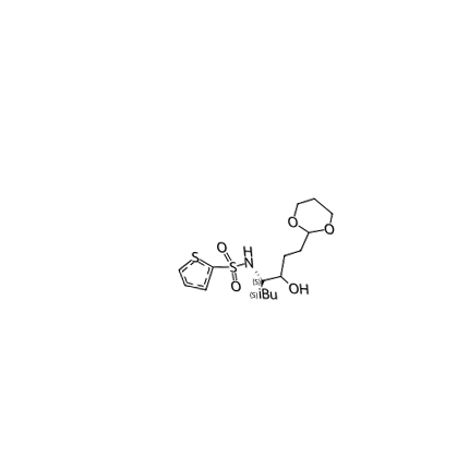 CC[C@H](C)[C@H](NS(=O)(=O)c1cccs1)C(O)CCC1OCCCO1